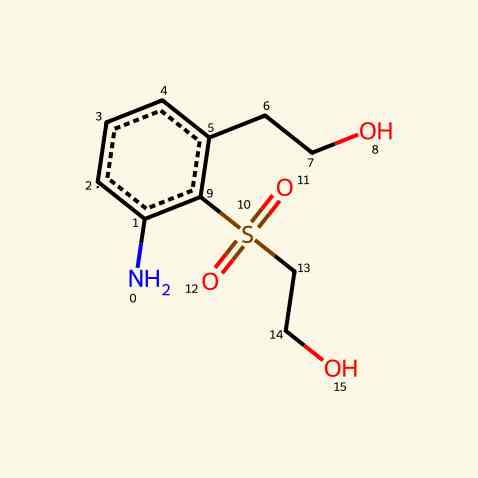 Nc1[c]ccc(CCO)c1S(=O)(=O)CCO